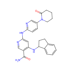 NC(=O)c1cnc(Nc2ccc(N3CCCCC3=O)cn2)cc1NC1CCc2ccccc21